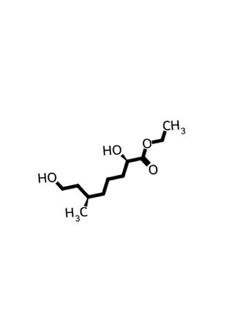 CCOC(=O)[C@H](O)CCC[C@@H](C)CCO